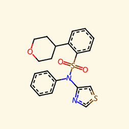 O=S(=O)(c1ccccc1C1CCOCC1)N(c1ccccc1)c1cscn1